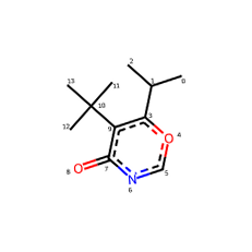 CC(C)c1ocnc(=O)c1C(C)(C)C